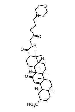 CC1(C)[C@@H](C(=O)NCC(=O)OCCN2CCOCC2)CC[C@]2(C)[C@H]3C(=O)C=C4[C@@H]5C[C@@H](C(=O)O)CC[C@]5(C)CC[C@@]4(C)[C@]3(C)CC[C@@H]12